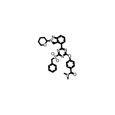 CN(C)C(=O)c1ccc(Oc2nc(-c3cccc4nn(C5CCCCO5)cc34)nc(S(=O)(=O)Cc3ccccc3)n2)cc1